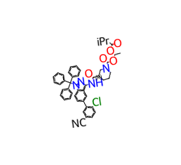 CC(OC(=O)C(C)C)OC(=O)N1CCC[C@@H](C(=O)Nc2nn(C(c3ccccc3)(c3ccccc3)c3ccccc3)c3ccc(-c4cc(C#N)ccc4Cl)cc23)C1